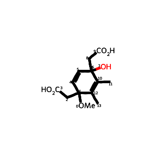 COC1(CC(=O)O)C=CC(O)(CC(=O)O)C(C)=C1C